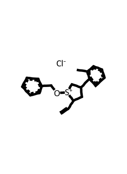 C=CC1CC(c2ccccc2C)C[S+]1OCc1ccccc1.[Cl-]